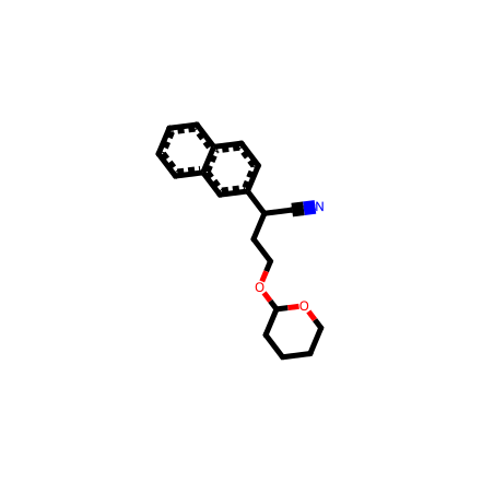 N#CC(CCOC1CCCCO1)c1ccc2ccccc2c1